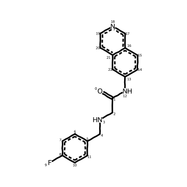 O=C(CNCc1ccc(F)cc1)Nc1ccc2cnccc2c1